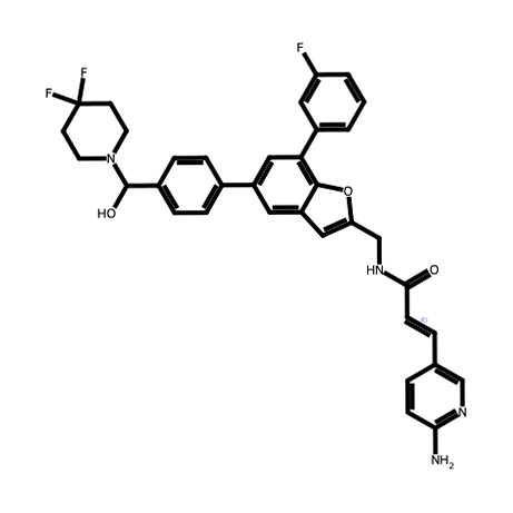 Nc1ccc(/C=C/C(=O)NCc2cc3cc(-c4ccc(C(O)N5CCC(F)(F)CC5)cc4)cc(-c4cccc(F)c4)c3o2)cn1